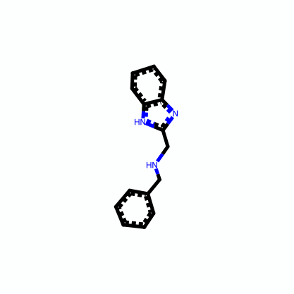 c1ccc(CNCc2nc3ccccc3[nH]2)cc1